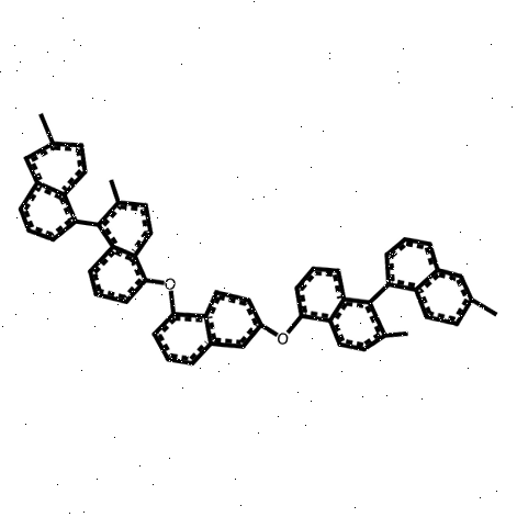 Cc1ccc2c(-c3c(C)ccc4c(Oc5ccc6c(Oc7cccc8c(-c9cccc%10cc(C)ccc9%10)c(C)ccc78)cccc6c5)cccc34)cccc2c1